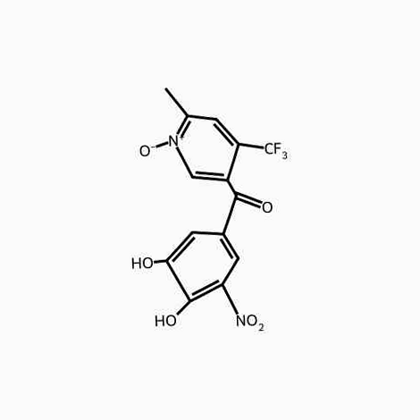 Cc1cc(C(F)(F)F)c(C(=O)c2cc(O)c(O)c([N+](=O)[O-])c2)c[n+]1[O-]